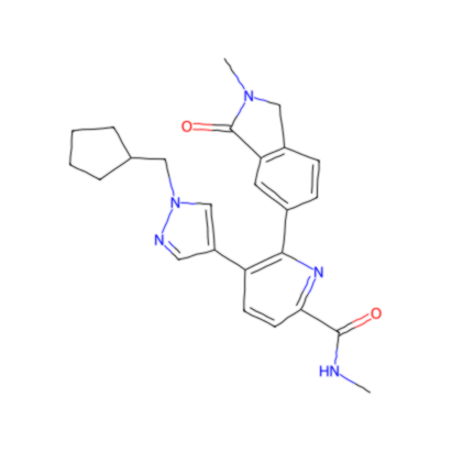 CNC(=O)c1ccc(-c2cnn(CC3CCCC3)c2)c(-c2ccc3c(c2)C(=O)N(C)C3)n1